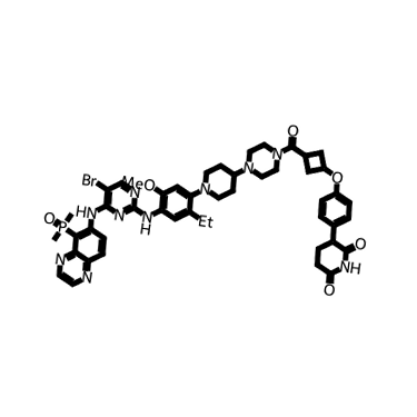 CCc1cc(Nc2ncc(Br)c(Nc3ccc4nccnc4c3P(C)(C)=O)n2)c(OC)cc1N1CCC(N2CCN(C(=O)C3CC(Oc4ccc(C5CCC(=O)NC5=O)cc4)C3)CC2)CC1